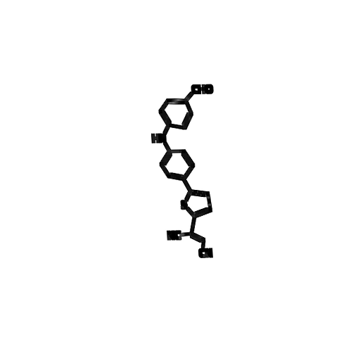 N#CC=C(C#N)c1ccc(-c2ccc(Nc3ccc(C=O)cc3)cc2)s1